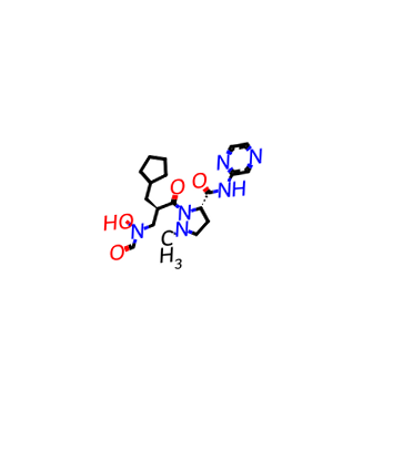 CN1CC[C@@H](C(=O)Nc2cnccn2)N1C(=O)[C@H](CC1CCCC1)CN(O)C=O